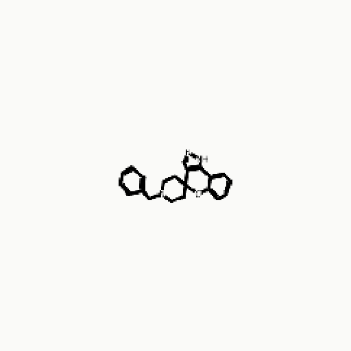 c1ccc(CN2CCC3(CC2)Oc2ccccc2-c2[nH]ncc23)cc1